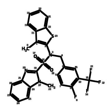 Cc1c(N(Cc2ccc(F)c(C(F)(F)F)c2)S(=O)(=O)c2nc3ccccc3n2C)sc2ccccc12